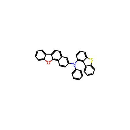 c1ccc(N(c2ccc3c(ccc4c5ccccc5oc34)c2)c2cccc3sc4ccccc4c23)cc1